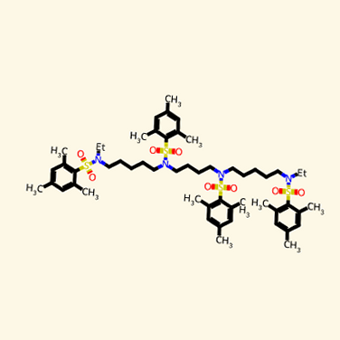 CCN(CCCCCN(CCCCN(CCCCCN(CC)S(=O)(=O)c1c(C)cc(C)cc1C)S(=O)(=O)c1c(C)cc(C)cc1C)S(=O)(=O)c1c(C)cc(C)cc1C)S(=O)(=O)c1c(C)cc(C)cc1C